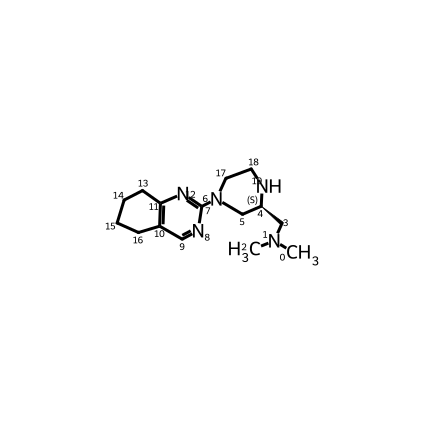 CN(C)C[C@H]1CN(c2ncc3c(n2)CCCC3)CCN1